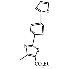 CCOC(=O)c1sc(-c2ccc(-c3cccs3)cc2)nc1C